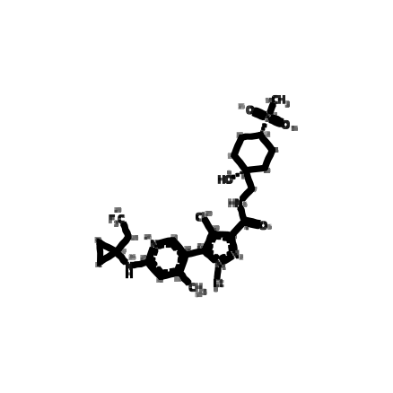 CCn1nc(C(=O)NC[C@]2(O)CC[C@@H](S(C)(=O)=O)CC2)c(Cl)c1-c1cnc(NC2(CC(F)(F)F)CC2)cc1C